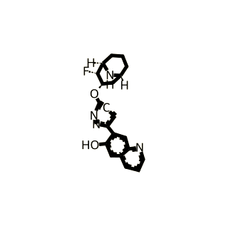 Oc1cc2cccnc2cc1-c1ccc(O[C@H]2C[C@@H]3CCC[C@@H](N3)[C@H]2F)nn1